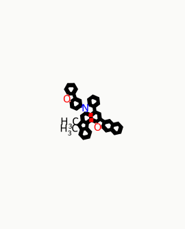 CC1(C)c2ccccc2-c2ccc(N(c3ccc4oc5ccccc5c4c3)c3ccccc3-c3ccc4oc5cc6ccccc6cc5c4c3)cc21